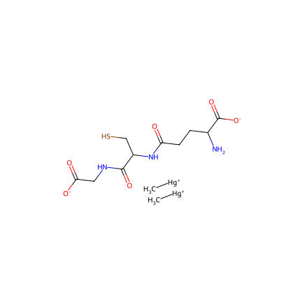 NC(CCC(=O)NC(CS)C(=O)NCC(=O)[O-])C(=O)[O-].[CH3][Hg+].[CH3][Hg+]